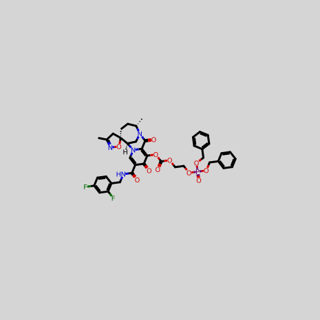 CC1=NO[C@@]2(CC[C@H](C)N3C[C@H]2n2cc(C(=O)NCc4ccc(F)cc4F)c(=O)c(OC(=O)OCCOP(=O)(OCc4ccccc4)OCc4ccccc4)c2C3=O)C1